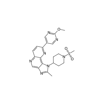 COc1ncc(-c2ccc3ncc4nc(C)n(C5CCN(S(C)(=O)=O)CC5)c4c3n2)cn1